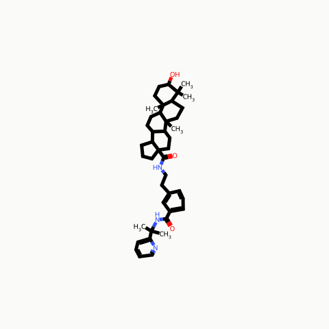 CC(C)(NC(=O)c1cccc(CCNC(=O)C23CCCC2C2CCC4C(C)(CCC5C(C)(C)C(O)CCC54C)C2CC3)c1)c1ccccn1